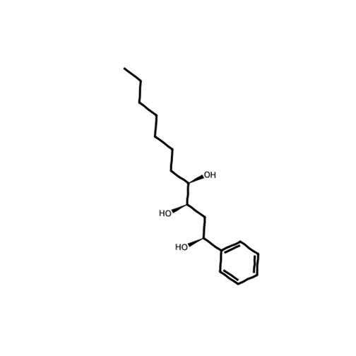 CCCCCCC[C@@H](O)[C@H](O)C[C@H](O)c1ccccc1